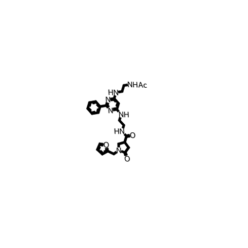 CC(=O)NCCNc1cc(NCCNC(=O)C2CC(=O)N(Cc3ccco3)C2)nc(-c2ccccc2)n1